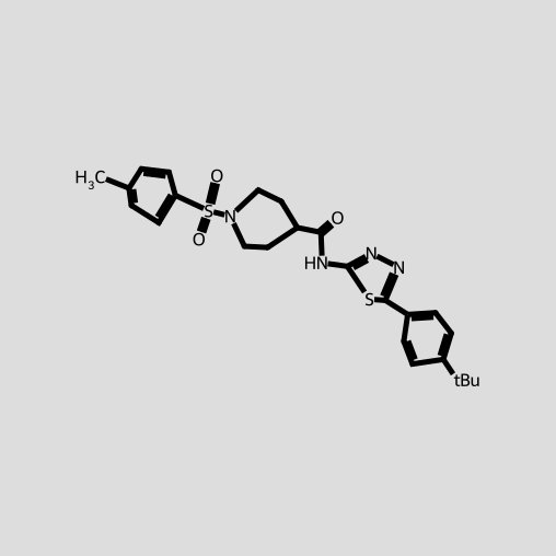 Cc1ccc(S(=O)(=O)N2CCC(C(=O)Nc3nnc(-c4ccc(C(C)(C)C)cc4)s3)CC2)cc1